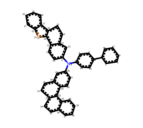 c1ccc(-c2ccc(N(c3ccc4c(ccc5c6ccccc6sc45)c3)c3ccc4c(ccc5ccc6ccccc6c54)c3)cc2)cc1